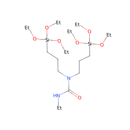 CCNC(=O)N(CCC[Si](OCC)(OCC)OCC)CCC[Si](OCC)(OCC)OCC